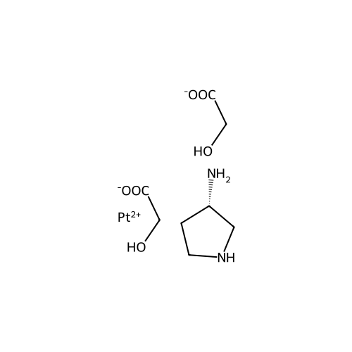 N[C@H]1CCNC1.O=C([O-])CO.O=C([O-])CO.[Pt+2]